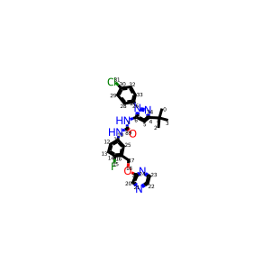 CC(C)(C)c1cc(NC(=O)Nc2ccc(F)c(COc3cnccn3)c2)n(-c2ccc(Cl)cc2)n1